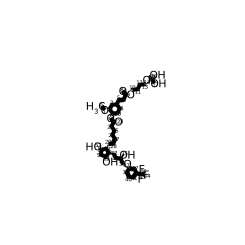 COC1CC(/C=C/C(=O)OCCCCON(O)O)CCC1OC(=O)CCC/C=C\C[C@@H]1[C@@H](CC[C@@H](O)COc2cccc(C(F)(F)F)c2)[C@H](O)C[C@@H]1O